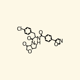 O=C(NC(Cc1ccc(Cl)cc1)C(=O)N1CCC2OCC(=O)C21)c1ccc(-c2cnco2)cc1